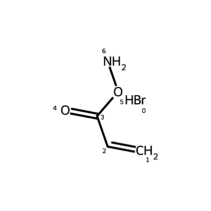 Br.C=CC(=O)ON